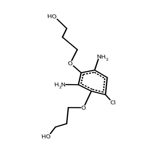 Nc1cc(Cl)c(OCCCO)c(N)c1OCCCO